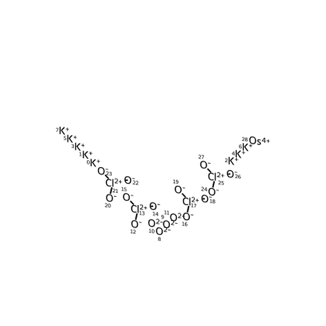 [K+].[K+].[K+].[K+].[K+].[K+].[K+].[K+].[O-2].[O-2].[O-2].[O-2].[O-][Cl+2]([O-])[O-].[O-][Cl+2]([O-])[O-].[O-][Cl+2]([O-])[O-].[O-][Cl+2]([O-])[O-].[Os+4]